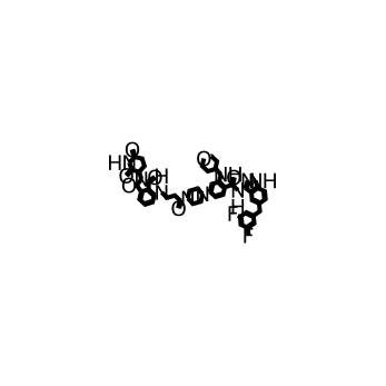 O=C1CCC(N2C(=O)c3cccc(NCCC(=O)N4CCN(c5ccc(C(=O)Nc6n[nH]c7ccc(Cc8cc(F)cc(F)c8)cc67)c(NC6CCOCC6)c5)CC4)c3C2=O)C(=O)N1